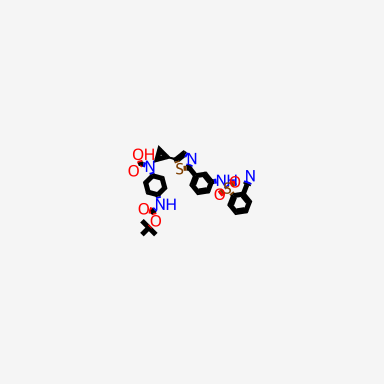 CC(C)(C)OC(=O)NC1CCC(N(C(=O)O)[C@@H]2C[C@H]2c2cnc(-c3cccc(NS(=O)(=O)c4ccccc4C#N)c3)s2)CC1